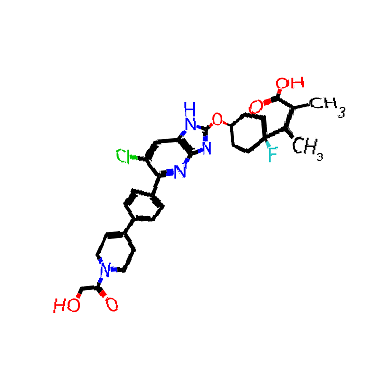 CC(C(=O)O)C(C)[C@]1(F)CC[C@@H](Oc2nc3nc(-c4ccc(C5=CCN(C(=O)CO)CC5)cc4)c(Cl)cc3[nH]2)CC1